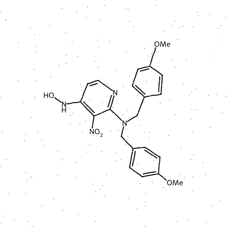 COc1ccc(CN(Cc2ccc(OC)cc2)c2nccc(NO)c2[N+](=O)[O-])cc1